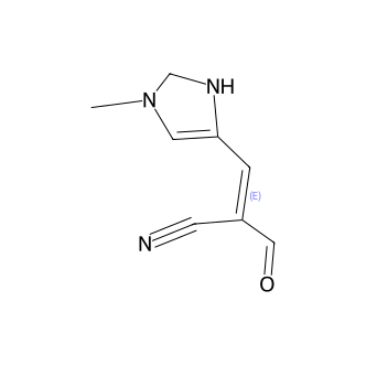 CN1C=C(/C=C(\C#N)C=O)NC1